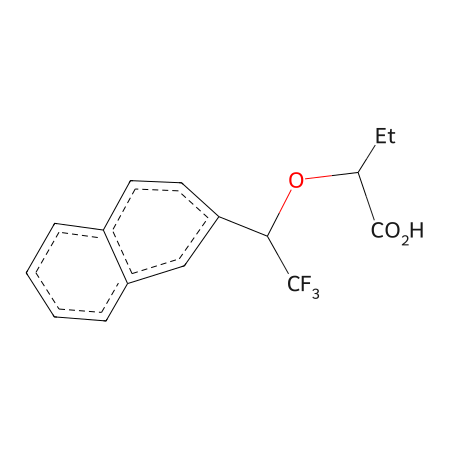 CCC(OC(c1ccc2ccccc2c1)C(F)(F)F)C(=O)O